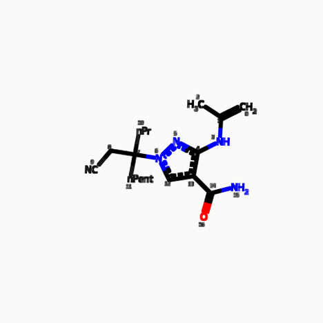 C=C(C)Nc1nn(C(CC#N)(CCC)CCCCC)cc1C(N)=O